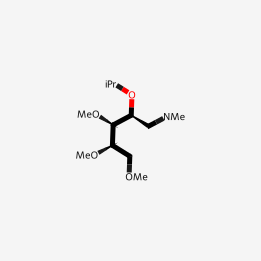 CNC[C@H](OC(C)C)[C@H](OC)[C@@H](COC)OC